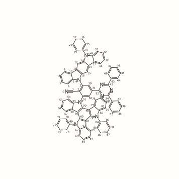 N#Cc1c(-n2c3ccccc3c3cc4c(cc32)c2ccccc2n4-c2ccccc2)cc(-c2nc(-c3ccccc3)nc(-c3ccccc3)n2)cc1-n1c2ccccc2c2c3c(c4ccccc4n3-c3ccccc3)c3c(c4ccccc4n3-c3ccccc3)c21